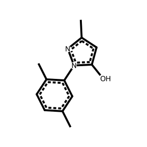 Cc1ccc(C)c(-n2nc(C)cc2O)c1